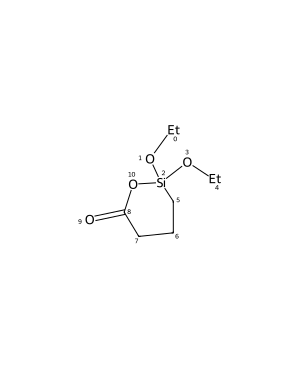 CCO[Si]1(OCC)CCCC(=O)O1